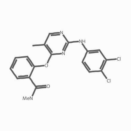 CNC(=O)c1ccccc1Oc1nc(Nc2ccc(Cl)c(Cl)c2)ncc1C